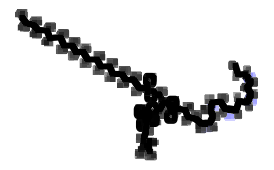 CC/C=C\C/C=C\C/C=C\C/C=C\C/C=C\CCCC(=O)O[C@H](COC(=O)CCCCCCCCCCCCCCCCCCCC)COP(=O)([O-])OCC[N+](C)(C)C